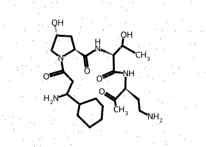 CC(=O)[C@H](CCN)NC(=O)[C@@H](NC(=O)[C@@H]1C[C@@H](O)CN1C(=O)CC(N)C1CCCCC1)C(C)O